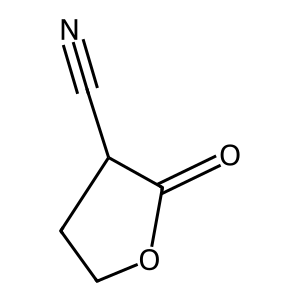 N#CC1CCOC1=O